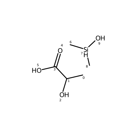 CC(O)C(=O)O.C[SiH](C)O